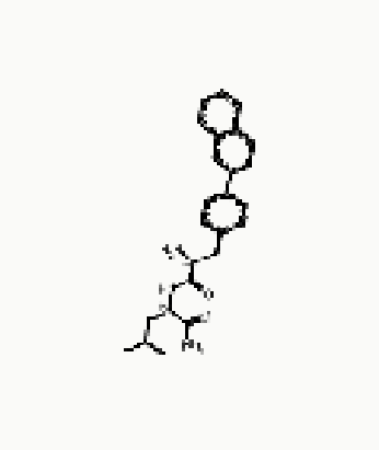 CC(C)C[C@@H](NC(=O)[C@@H](N)Cc1ccc(-c2ccc3ccccc3c2)cc1)C(N)=O